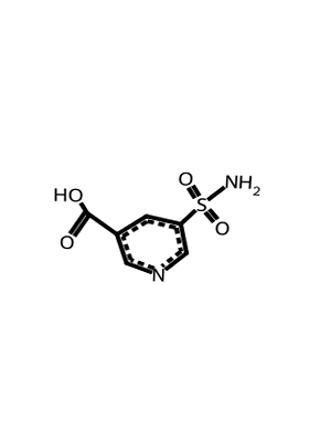 NS(=O)(=O)c1cncc(C(=O)O)c1